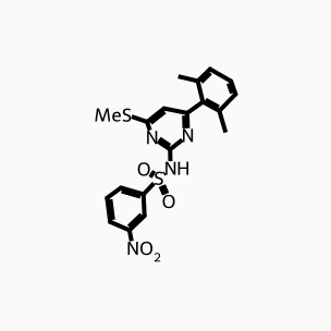 CSc1cc(-c2c(C)cccc2C)nc(NS(=O)(=O)c2cccc([N+](=O)[O-])c2)n1